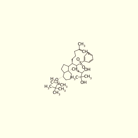 C=C(C)CCC[C@H](C1CCC2[C@@H](O[Si](C)(C)C(C)(C)C)CCC[C@]12C)C(CC(O)C(C)(C)O)S(=O)(=O)c1ccccc1